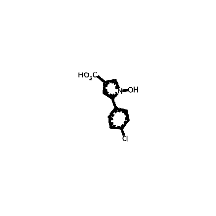 O=C(O)c1cc(-c2ccc(Cl)cc2)n(O)c1